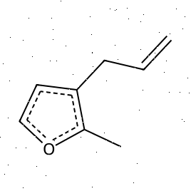 C=CCc1ccoc1C